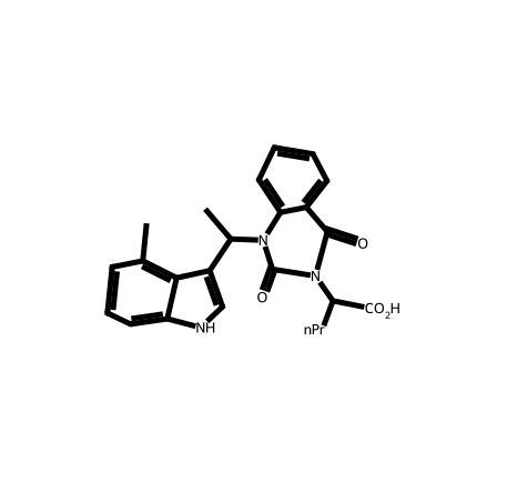 CCCC(C(=O)O)n1c(=O)c2ccccc2n(C(C)c2c[nH]c3cccc(C)c23)c1=O